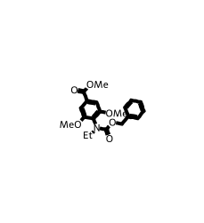 CCN(C(=O)OCc1ccccc1)c1c(OC)cc(C(=O)OC)cc1OC